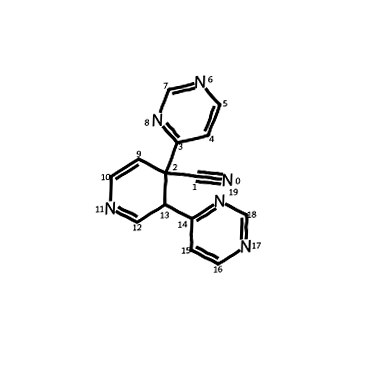 N#CC1(c2ccncn2)C=CN=CC1c1ccncn1